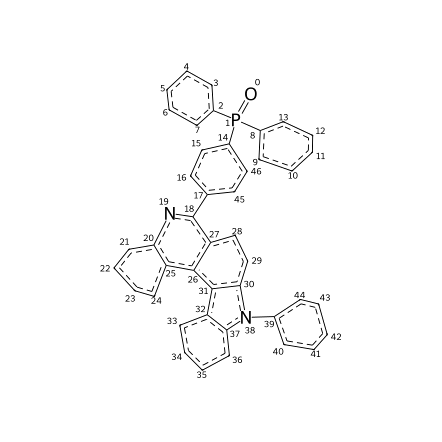 O=P(c1ccccc1)(c1ccccc1)c1ccc(-c2nc3ccccc3c3c2ccc2c3c3ccccc3n2-c2ccccc2)cc1